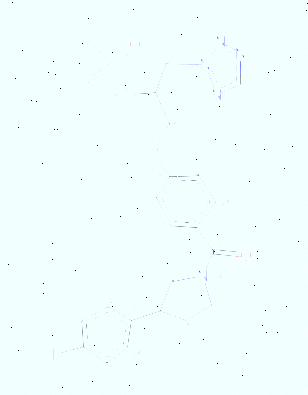 CS(=O)(=O)OC(COc1ccc(C(=O)N2CCC(c3ccc(F)cc3)C2)cc1)Cn1ncnn1